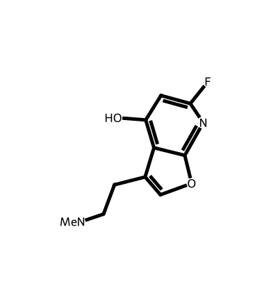 CNCCc1coc2nc(F)cc(O)c12